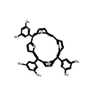 CC(C)(C)c1cc(-c2c3nc(c(-c4cc(C(C)(C)C)cc(C(C)(C)C)c4)c4ccc([nH]4)c(-c4cc(C(C)(C)C)cc(C(C)(C)C)c4)c4nc(cc5ccc2[nH]5)C=C4)C=C3)cc(C(C)(C)C)c1